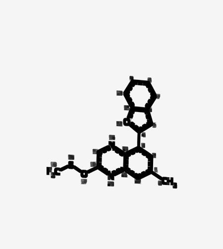 Cc1cc(-c2cc3ccccc3o2)c2ncc(OSC(F)(F)F)nc2c1